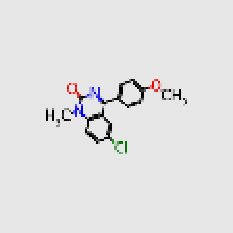 COc1ccc(-c2nc(=O)n(C)c3ccc(Cl)cc23)cc1